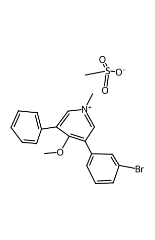 COc1c(-c2ccccc2)c[n+](C)cc1-c1cccc(Br)c1.CS(=O)(=O)[O-]